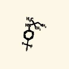 CC(C)(CN)Nc1ccc(C(F)(F)F)cc1